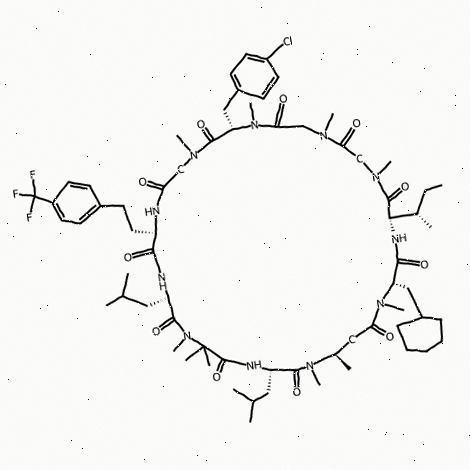 CC[C@H](C)[C@@H]1NC(=O)[C@H](CC2CCCCC2)N(C)C(=O)C[C@@H](C)N(C)C(=O)[C@H](CC(C)C)NC(=O)C(C)(C)N(C)C(=O)[C@H](CC(C)C)NC(=O)[C@H](CCc2ccc(C(F)(F)F)cc2)NC(=O)CN(C)C(=O)[C@H](Cc2ccc(Cl)cc2)N(C)C(=O)CN(C)C(=O)CN(C)C1=O